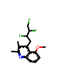 COc1cccc2nc(C)c(C)c(CC(F)C(F)CF)c12